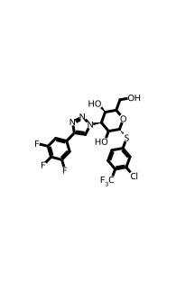 OCC1O[C@H](Sc2ccc(C(F)(F)F)c(Cl)c2)C(O)[C@@H](n2cc(-c3cc(F)c(F)c(F)c3)nn2)[C@H]1O